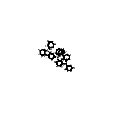 c1ccc(-c2cccc3c2c2c(N(c4ccccc4)c4ccc5c6ccccc6n(-c6ccccc6)c5c4)cccc2n3-c2ccccc2)cc1